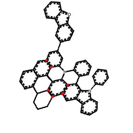 c1ccc(-n2c3ccccc3c3cccc(-c4ccccc4N(c4cccc(-c5ccc6oc7ccccc7c6c5)c4)c4ccccc4-c4cccc5cccc(C6CCCCC6)c45)c32)cc1